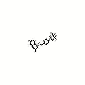 Cc1cc(OCc2ccc(B3OC(C)(C)C(C)(C)O3)cc2)c2ccccc2n1